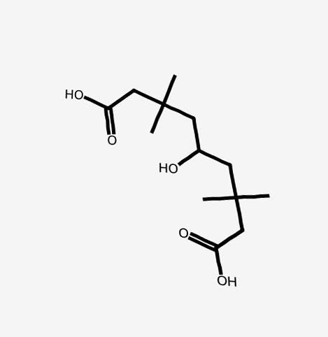 CC(C)(CC(=O)O)CC(O)CC(C)(C)CC(=O)O